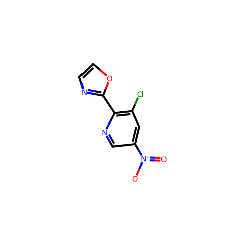 O=[N+]([O-])c1cnc(-c2ncco2)c(Cl)c1